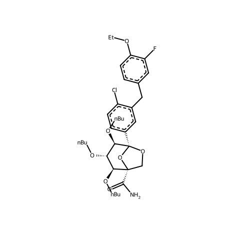 CCCCO[C@@H]1[C@@H](OCCCC)[C@@]2(c3ccc(Cl)c(Cc4ccc(OCC)c(F)c4)c3)OC[C@](C(N)=O)(O2)[C@H]1OCCCC